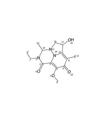 CCN1C(=O)c2c(OC)c(=O)c(I)c3n2N(CC3O)C1C